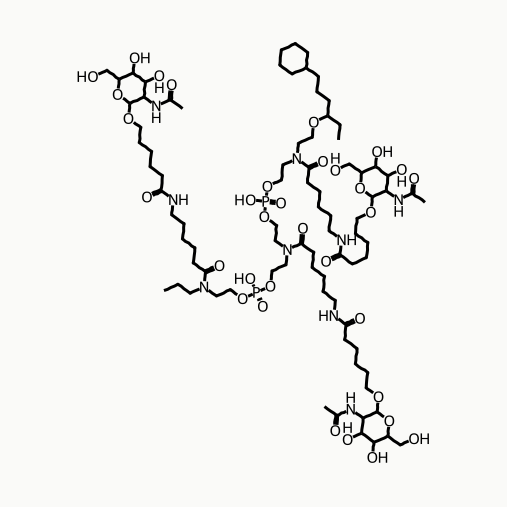 CCCN(CCOP(=O)(O)OCCN(CCOP(=O)(O)OCCN(CCOC(CC)CCCC1CCCCC1)C(=O)CCCCCNC(=O)CCCCCOC1OC(CO)C(O)C(O)C1NC(C)=O)C(=O)CCCCCNC(=O)CCCCCOC1OC(CO)C(O)C(O)C1NC(C)=O)C(=O)CCCCCNC(=O)CCCCCOC1OC(CO)C(O)C(O)C1NC(C)=O